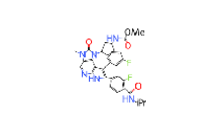 COC(=O)N[C@@H]1CC[C@@H](n2c(=O)n(C)c3cnc4[nH]c(-c5ccc(C(=O)NC(C)C)c(F)c5)c(-c5cccc(F)c5)c4c32)C1